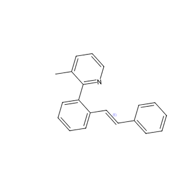 Cc1cccnc1-c1ccccc1/C=C/c1ccccc1